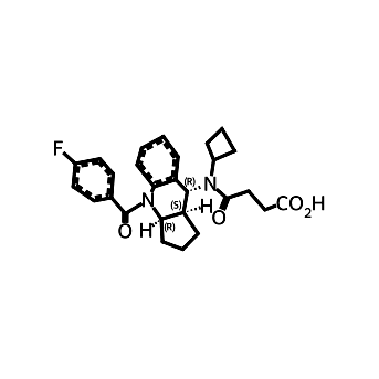 O=C(O)CCC(=O)N(C1CCC1)[C@H]1c2ccccc2N(C(=O)c2ccc(F)cc2)[C@@H]2CCC[C@@H]21